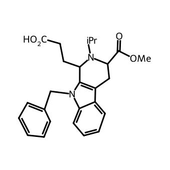 COC(=O)C1Cc2c(n(Cc3ccccc3)c3ccccc23)C(CCC(=O)O)N1C(C)C